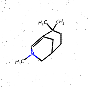 CN1C=C2CC(CCC2(C)C)C1